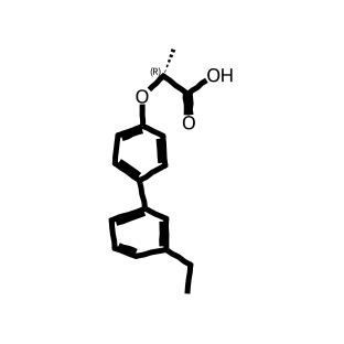 CCc1cccc(-c2ccc(O[C@H](C)C(=O)O)cc2)c1